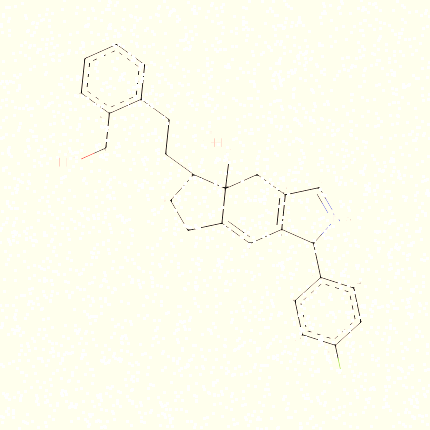 CC12CC3=C(C=C1CC[C@@]2(O)CCc1ccccc1CO)C(c1ccc(F)cc1)N=C3